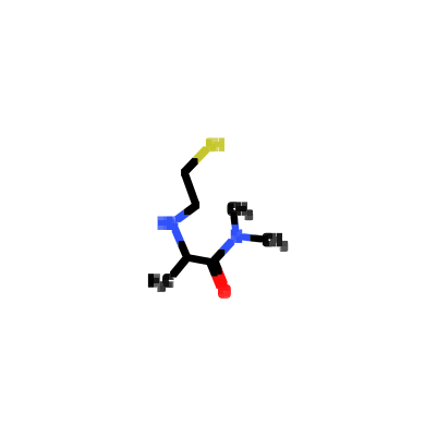 CC(NCCS)C(=O)N(C)C